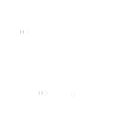 Cc1cccc(C2(CC(=O)O)CCC2)c1